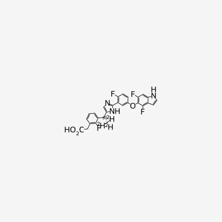 [2H]C([2H])([2H])[C@@H](c1cnc(-c2cc(Oc3c(F)cc4[nH]ccc4c3F)ccc2F)[nH]1)c1cccc(CC(=O)O)c1F